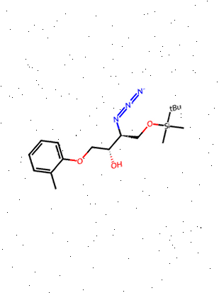 Cc1ccccc1OC[C@@H](O)[C@H](CO[Si](C)(C)C(C)(C)C)N=[N+]=[N-]